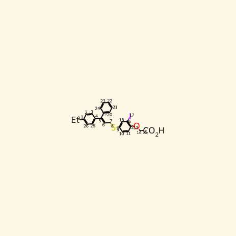 CCc1ccc(C(=CCSc2ccc(OCC(=O)O)c(I)c2)c2ccccc2)cc1